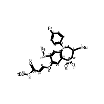 CCCCC1CN(c2ccc(F)cc2)c2cc(SCC)c(O/C=C/C(=O)OC(C)(C)C)cc2S(=O)(=O)C1